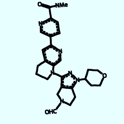 CNC(=O)c1ccc(-c2cc3c(cn2)N(c2nn(C4CCOCC4)c4c2CN(C=O)CC4)CCC3)cn1